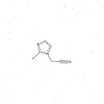 C#CCn1ccnc1F